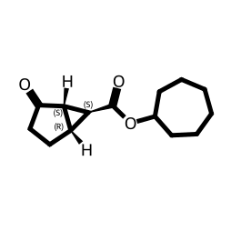 O=C1CC[C@@H]2[C@H]1[C@H]2C(=O)OC1CCCCCC1